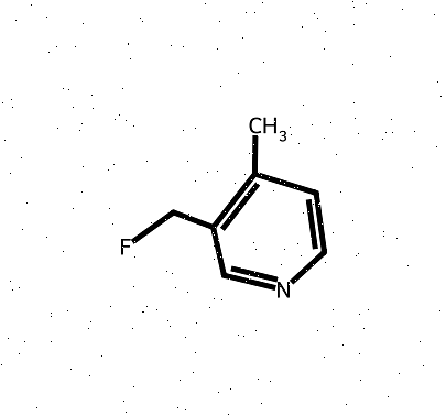 Cc1ccncc1CF